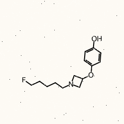 Oc1ccc(OC2CN(CCCCCF)C2)cc1